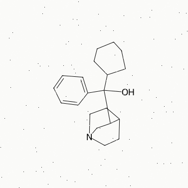 OC(c1ccccc1)(C1CCCCC1)C1CN2CCC1CC2